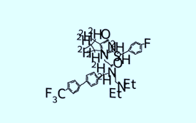 [2H]C([2H])(Sc1nc(=O)c2c(n1CC(=O)N(CCN(CC)CC)C([2H])([2H])c1ccc(-c3ccc(C(F)(F)F)cc3)cc1)C([2H])([2H])C([2H])(C)C2([2H])[2H])c1ccc(F)cc1